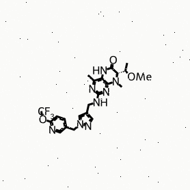 COC(C)[C@H]1C(=O)Nc2c(C)nc(NCc3cnn(Cc4ccc(OC(F)(F)F)nc4)c3)nc2N1C